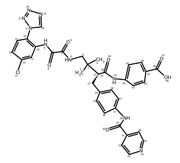 CC(C)(CNC(=O)C(=O)Nc1cc(Cl)ccc1-n1cnnn1)[C@H](Cc1ccc(NC(=O)c2ccncc2)cc1)C(=O)Nc1ccc(C(=O)O)cc1